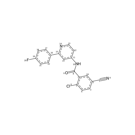 N#Cc1ccc(Cl)c(C(=O)Nc2ccnc(-c3ccc(F)cc3)c2)c1